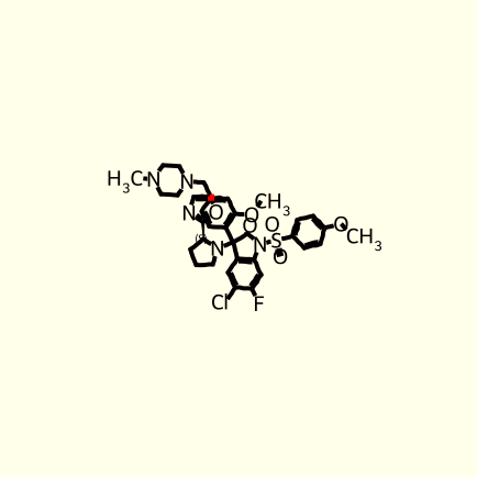 COc1ccc(S(=O)(=O)N2C(=O)C(c3ccc(CN4CCN(C)CC4)cc3OC)(N3CCC[C@H]3c3ncco3)c3cc(Cl)c(F)cc32)cc1